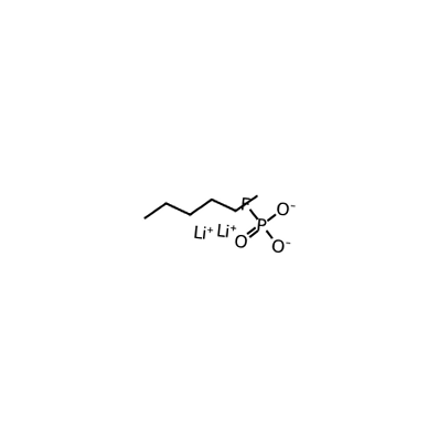 CCCCCC.O=P([O-])([O-])F.[Li+].[Li+]